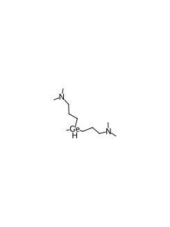 CN(C)CC[CH2][GeH]([CH3])[CH2]CCN(C)C